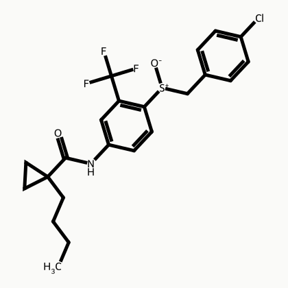 CCCCC1(C(=O)Nc2ccc([S+]([O-])Cc3ccc(Cl)cc3)c(C(F)(F)F)c2)CC1